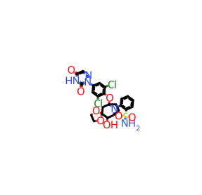 NS(=O)(=O)c1ccccc1N1C2CCC1(Oc1c(Cl)cc(-n3ncc(=O)[nH]c3=O)cc1Cl)CC1(OCCO1)C2O